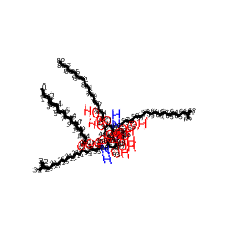 CCCCCCCCCCCCCCCC(=O)O[C@H](CCCCCCCCCCCC(C)C)CC(=O)N[C@H]1[C@H](OC[C@H]2O[C@H](OP(=O)(O)O)[C@H](NC(=O)C[C@H](O)CCCCCCCCCCCC(C)C)[C@@H](OC(=O)C[C@H](O)CCCCCCCCCCCCC)[C@@H]2O)O[C@H](CO)[C@@H](O)[C@@H]1O